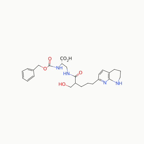 O=C(N[C@@H](CNC(=O)C(CO)CCCc1ccc2c(n1)NCCC2)C(=O)O)OCc1ccccc1